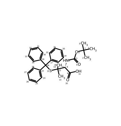 CC(C)(C)OC(=O)N[C@H](C(=O)O)C(C)(C)SC(c1ccccc1)(c1ccccc1)c1ccccc1